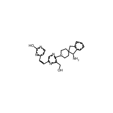 N[C@@H]1c2ccccc2CC12CCN(c1ncc(/C=C\c3ccnc(O)n3)nc1CO)CC2